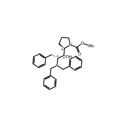 CC(C)(C)OC(=O)N1CCC[C@@H]1[C@H](O)[C@@H](Cc1ccccc1)N(Cc1ccccc1)Cc1ccccc1